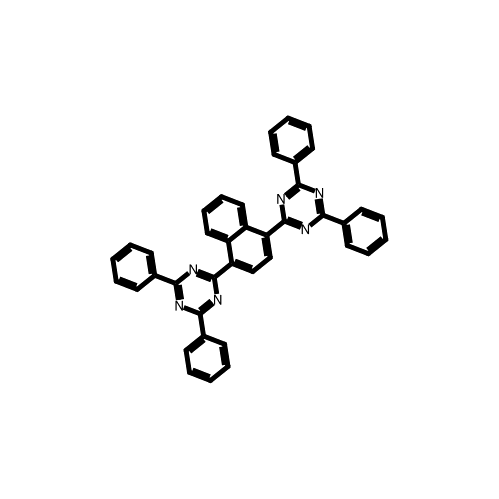 c1ccc(-c2nc(-c3ccccc3)nc(-c3ccc(-c4nc(-c5ccccc5)nc(-c5ccccc5)n4)c4ccccc34)n2)cc1